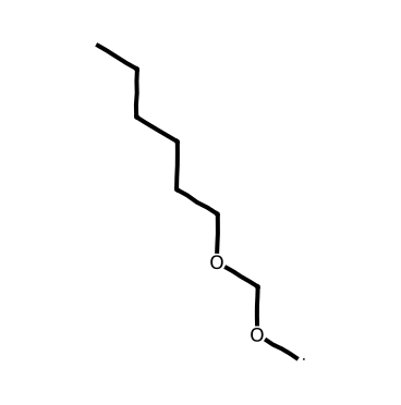 [CH2]OCOCCCCCC